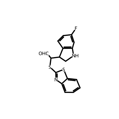 O=CC(Sc1nc2ccccc2s1)C1CNc2cc(F)ccc21